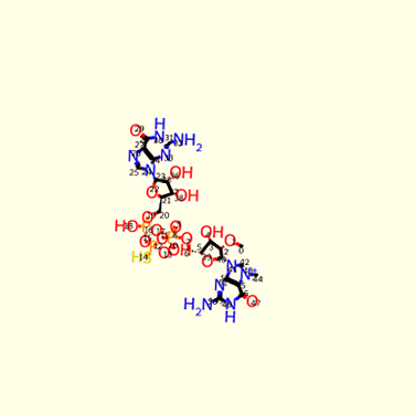 CO[C@@H]1[C@H](O)[C@@H](COP(=O)(O)OP(=O)(S)OP(=O)(O)OC[C@H]2O[C@@H](n3cnc4c(=O)[nH]c(N)nc43)[C@H](O)[C@@H]2O)O[C@H]1n1c[n+](C)c2c(=O)[nH]c(N)nc21